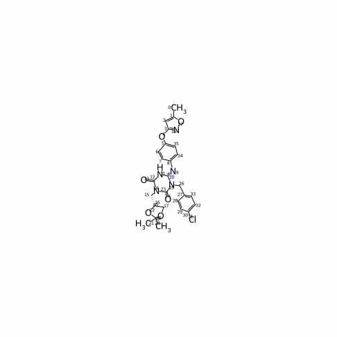 Cc1cc(Oc2ccc(/N=c3\[nH]c(=O)n(C[C@@H]4COC(C)(C)O4)c(=O)n3Cc3ccc(Cl)cc3)cc2)no1